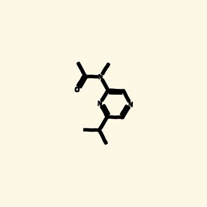 CC(=O)N(C)c1cncc(C(C)C)n1